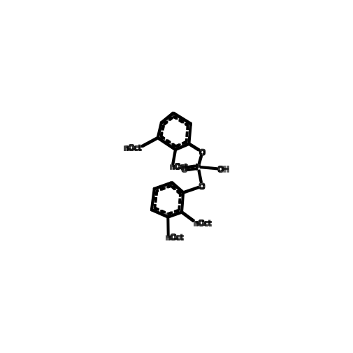 CCCCCCCCc1cccc(OP(=O)(O)Oc2cccc(CCCCCCCC)c2CCCCCCCC)c1CCCCCCCC